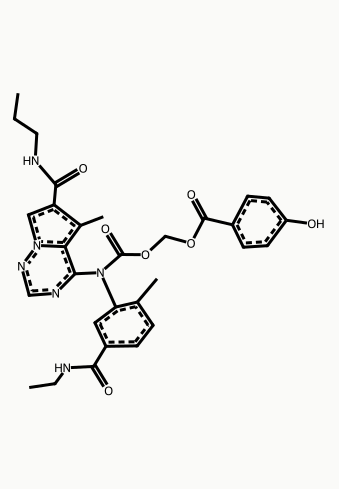 CCCNC(=O)c1cn2ncnc(N(C(=O)OCOC(=O)c3ccc(O)cc3)c3cc(C(=O)NCC)ccc3C)c2c1C